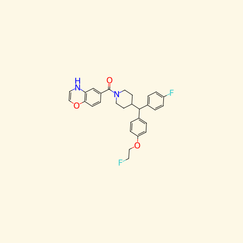 O=C(c1ccc2c(c1)NC=CO2)N1CCC(C(c2ccc(F)cc2)c2ccc(OCCF)cc2)CC1